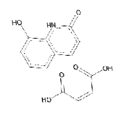 O=C(O)/C=C\C(=O)O.O=c1ccc2cccc(O)c2[nH]1